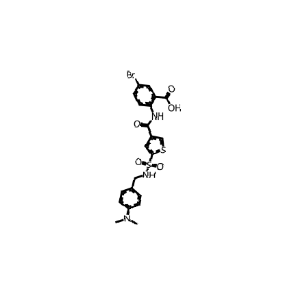 CN(C)c1ccc(CNS(=O)(=O)c2cc(C(=O)Nc3ccc(Br)cc3C(=O)O)cs2)cc1